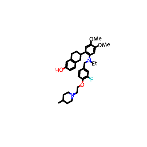 CCN(Cc1ccc(OCCN2CCC(C)CC2)c(F)c1)c1cc(OC)c(OC)cc1C1CCc2cc(O)ccc2C1